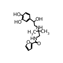 CC(C)(CNC(=O)c1ccco1)NCC(O)c1ccc(O)c(O)c1